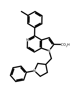 Cc1cccc(-c2nccc3c2cc(C(=O)O)n3CC2CCN(c3ccccc3)C2)c1